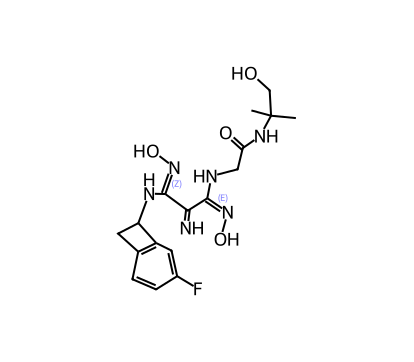 CC(C)(CO)NC(=O)CN/C(=N/O)C(=N)/C(=N/O)NC1Cc2ccc(F)cc21